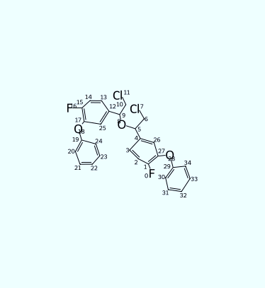 Fc1ccc(C(CCl)OC(CCl)c2ccc(F)c(Oc3ccccc3)c2)cc1Oc1ccccc1